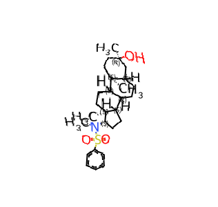 CN([C@H]1CC[C@H]2[C@@H]3CC[C@H]4C[C@](C)(O)CC[C@]4(C)[C@H]3CC[C@]12C)S(=O)(=O)c1ccccc1